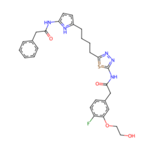 O=C(Cc1ccccc1)Nc1ccc(CCCCc2nnc(NC(=O)Cc3ccc(F)c(OCCO)c3)s2)[nH]1